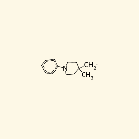 [CH2]C1(C)CCN(c2ccccc2)CC1